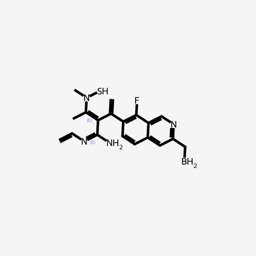 BCc1cc2ccc(C(=C)C(/C(N)=N\C=C)=C(/C)N(C)S)c(F)c2cn1